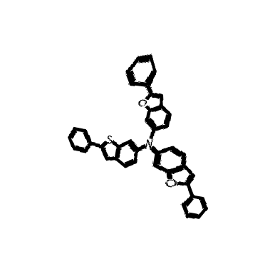 c1ccc(-c2cc3ccc(N(c4ccc5cc(-c6ccccc6)oc5c4)c4ccc5cc(-c6ccccc6)sc5c4)cc3o2)cc1